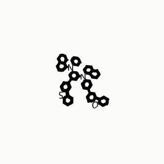 c1ccc(N(c2cc(-c3ccc4sc5ccccc5c4c3)cc(N(c3ccc(-c4ccc5oc6ccccc6c5c4)cc3)c3cccc4ccccc34)c2)c2cccc3ccccc23)cc1